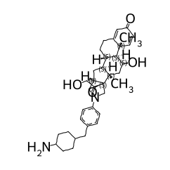 C[C@]12C=CC(=O)C=C1CC[C@@H]1[C@@H]2[C@@H](O)C[C@@]2(C)[C@H]1C[C@H]1CN(c3ccc(CC4CCC(N)CC4)cc3)C[C@]12C(=O)CO